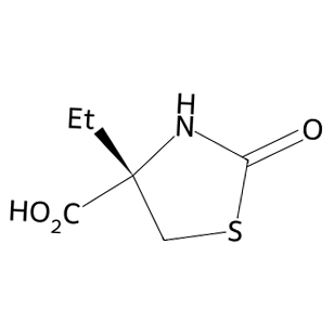 CC[C@]1(C(=O)O)CSC(=O)N1